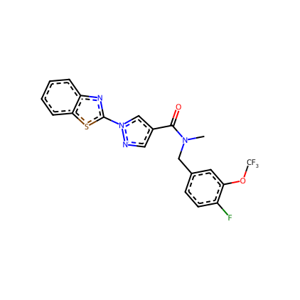 CN(Cc1ccc(F)c(OC(F)(F)F)c1)C(=O)c1cnn(-c2nc3ccccc3s2)c1